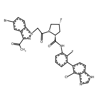 CC(=O)c1nn(CC(=O)N2C[C@H](F)C[C@H]2C(=O)Nc2cccc(-c3ccc4[nH]cnc4c3Cl)c2F)c2ccc(Br)cc12